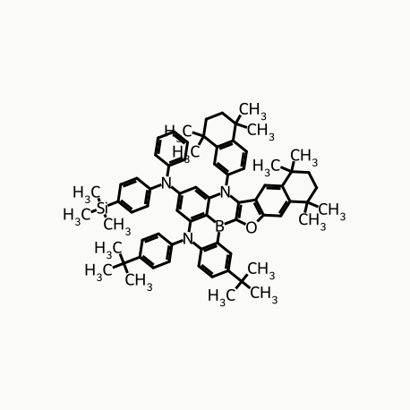 CC(C)(C)c1ccc(N2c3ccc(C(C)(C)C)cc3B3c4oc5cc6c(cc5c4N(c4ccc5c(c4)C(C)(C)CCC5(C)C)c4cc(N(c5ccccc5)c5ccc([Si](C)(C)C)cc5)cc2c43)C(C)(C)CCC6(C)C)cc1